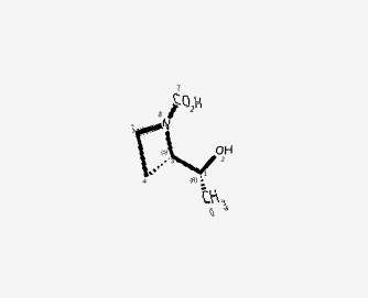 C[C@@H](O)[C@@H]1CCN1C(=O)O